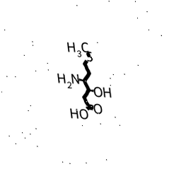 CSCC[C@H](N)[C@@H](O)CC(=O)O